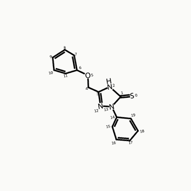 S=c1[nH]c(COc2ccccc2)nn1-c1ccccc1